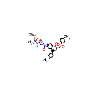 Cc1ccc(BCC(CS(=O)(=O)c2ccc(C)cc2)C(=O)c2ccc(C(=O)NCC(=O)NC(C)(C)COC(C)(C)C)cc2)cc1